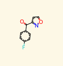 O=C(c1ccc(F)cc1)c1ccon1